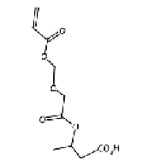 C=CC(=O)OCOCC(=O)OC(C)CC(=O)O